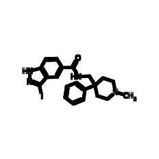 CN1CCC(CNC(=O)c2ccc3[nH]nc(I)c3c2)(c2ccccc2)CC1